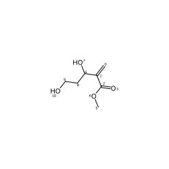 C=C(C(=O)OC)C(O)CCO